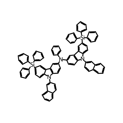 c1ccc(N(c2ccc3c(c2)c2cc([Si](c4ccccc4)(c4ccccc4)c4ccccc4)ccc2n3-c2ccc3ccccc3c2)c2ccc3c(c2)c2cc([Si](c4ccccc4)(c4ccccc4)c4ccccc4)ccc2n3-c2ccc3ccccc3c2)cc1